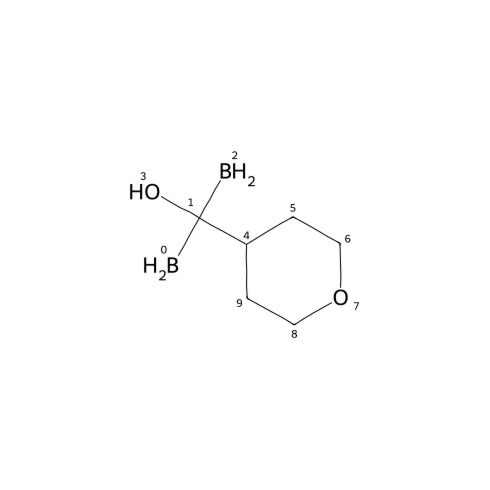 BC(B)(O)C1CCOCC1